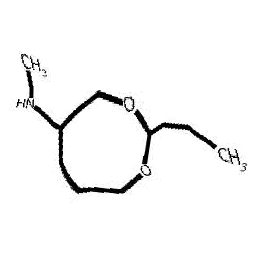 CCC1OCCCC(NC)CO1